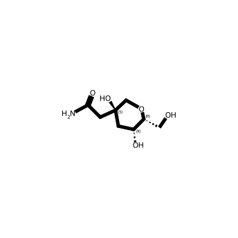 NC(=O)C[C@]1(O)[CH]O[C@H](CO)[C@H](O)C1